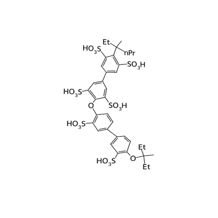 CCCC(C)(CC)c1c(S(=O)(=O)O)cc(-c2cc(S(=O)(=O)O)c(Oc3ccc(-c4ccc(OC(C)(CC)CC)c(S(=O)(=O)O)c4)cc3S(=O)(=O)O)c(S(=O)(=O)O)c2)cc1S(=O)(=O)O